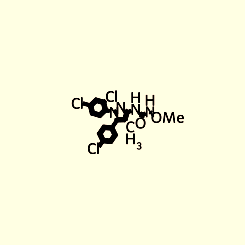 CONC(=O)Nc1nn(-c2ccc(Cl)cc2Cl)c(-c2ccc(Cl)cc2)c1C